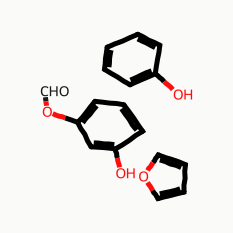 O=COc1cccc(O)c1.Oc1ccccc1.c1ccoc1